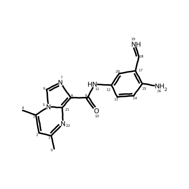 Cc1cc(C)n2cnc(C(=O)Nc3ccc(N)c(C=N)c3)c2n1